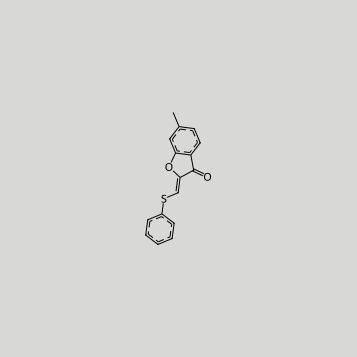 Cc1ccc2c(c1)OC(=CSc1ccccc1)C2=O